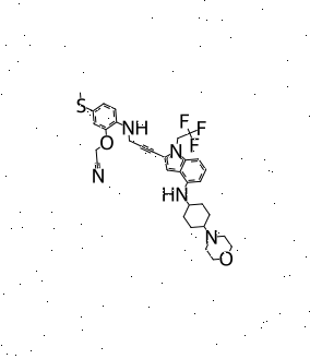 CSc1ccc(NCC#Cc2cc3c(NC4CCC(N5CCOCC5)CC4)cccc3n2CC(F)(F)F)c(OCC#N)c1